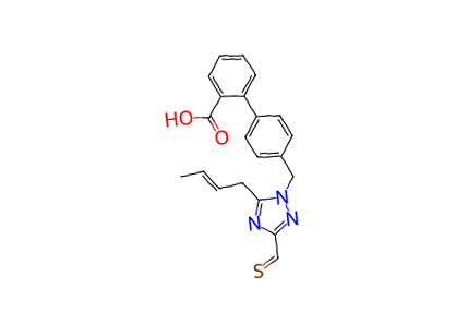 CC=CCc1nc(C=S)nn1Cc1ccc(-c2ccccc2C(=O)O)cc1